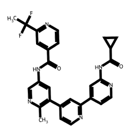 Cc1ncc(NC(=O)c2ccnc(C(C)(F)F)c2)cc1-c1ccnc(-c2ccnc(NC(=O)C3CC3)c2)c1